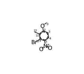 COc1ccc([N+](=O)[O-])c(Br)c1C